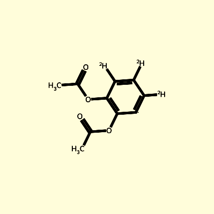 [2H]c1[c]c(OC(C)=O)c(OC(C)=O)c([2H])c1[2H]